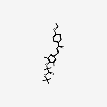 CCOc1ccc(C(=O)/C=C/c2cc(C)c(OC(C)(C)C(=O)OC(C)(C)C)c(C)c2)cc1